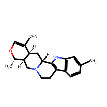 Cc1ccc2c3c([nH]c2c1)[C@H]1C[C@@H]2C(C=O)=CO[C@@H](C)[C@@H]2CN1CC3